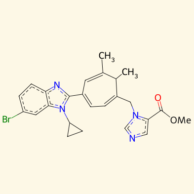 COC(=O)c1cncn1CC1=CC=C(c2nc3ccc(Br)cc3n2C2CC2)C=C(C)C1C